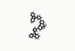 O=S1(=O)c2ccc(-c3cccc(-n4c5ccccc5c5ccccc54)c3)cc2-c2cc(-c3cccc(-n4c5ccccc5c5ccccc54)c3)ccc21